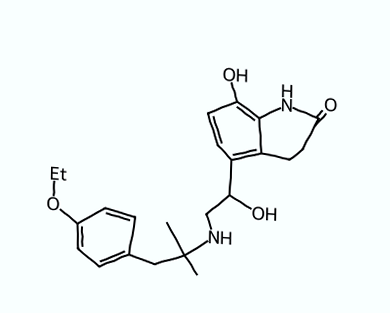 CCOc1ccc(CC(C)(C)NCC(O)c2ccc(O)c3c2CCC(=O)N3)cc1